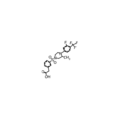 CC1CN(S(=O)(=O)c2cccc(CC(=O)O)c2)CCN1c1ccc(C(F)(F)F)c(F)c1